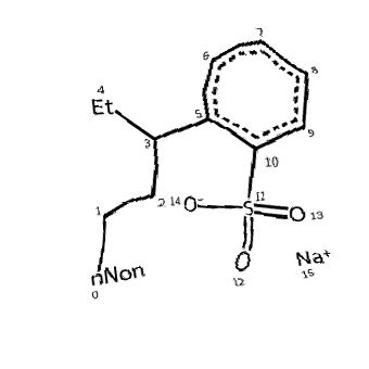 CCCCCCCCCCCC(CC)c1ccccc1S(=O)(=O)[O-].[Na+]